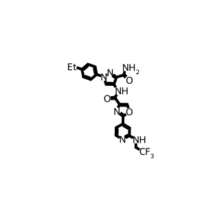 CCc1ccc(-n2cc(NC(=O)c3coc(-c4ccnc(NCC(F)(F)F)c4)n3)c(C(N)=O)n2)cc1